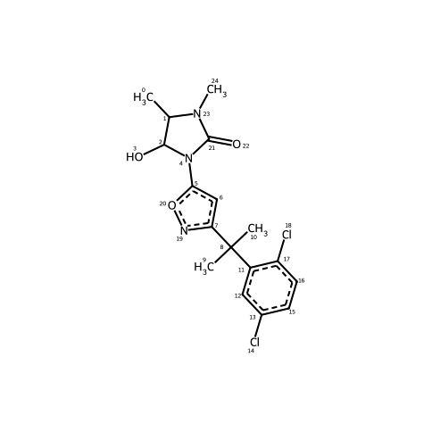 CC1C(O)N(c2cc(C(C)(C)c3cc(Cl)ccc3Cl)no2)C(=O)N1C